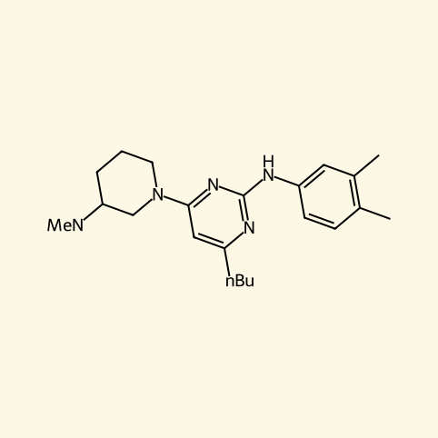 CCCCc1cc(N2CCCC(NC)C2)nc(Nc2ccc(C)c(C)c2)n1